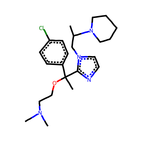 CC(Cn1ccnc1C(C)(OCCN(C)C)c1ccc(Cl)cc1)N1CCCCC1